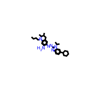 CCCCN1c2cc(N)c(N=Nc3nc4ccc(C5CCCCC5)cc4n3C(C)C)cc2CC(C)C1C